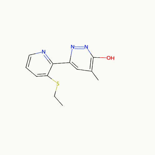 CCSc1cccnc1-c1cc(C)c(O)nn1